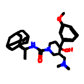 COc1cccc(C2(O)CCN(C(=O)NC(C)C34CC5CC(CC(C5)C3)C4)CC2CN(C)C)c1